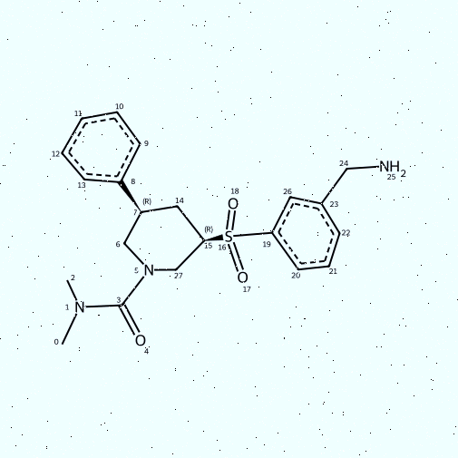 CN(C)C(=O)N1C[C@@H](c2ccccc2)C[C@@H](S(=O)(=O)c2cccc(CN)c2)C1